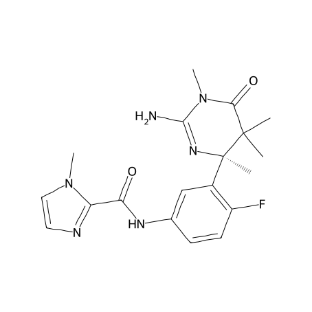 CN1C(=O)C(C)(C)[C@@](C)(c2cc(NC(=O)c3nccn3C)ccc2F)N=C1N